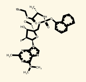 Cc1nc(N(C)C)c2ncn([C@@H]3O[C@](CCl)(CO[P@@](=O)(N[C@@H](C)C(=O)OCC(C)(C)C)Oc4cccc5ccccc45)[C@@H](O)[C@@H]3F)c2n1